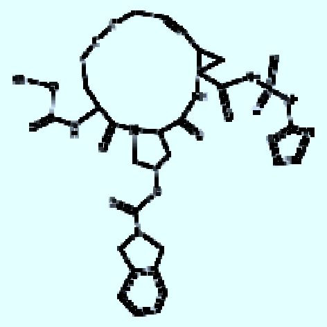 CC(C)(C)OC(=O)NC1CCCCCC=CC2CC2(C(=O)NS(=O)(=O)Nc2nccs2)NC(=O)C2CC(OC(=O)N3Cc4ccccc4C3)CN2C1=O